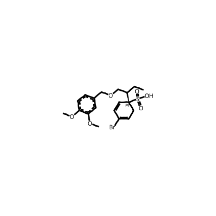 CCC(COCc1ccc(OC)c(OC)c1)[C@]1(S(=O)(=O)O)C=CC(Br)=CC1